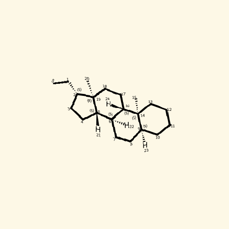 CC[C@H]1CC[C@H]2[C@@H]3CC[C@@H]4CCCC[C@]4(C)[C@H]3CC[C@]12C